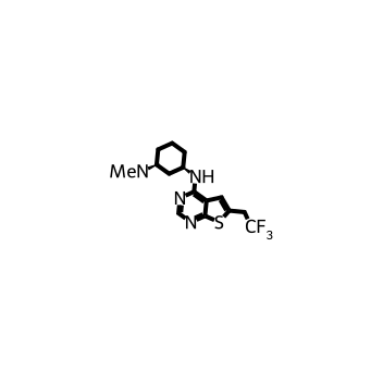 CN[C@H]1CCC[C@@H](Nc2ncnc3sc(CC(F)(F)F)cc23)C1